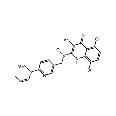 C/C=C\N(NC)c1ccc(C[S+]([O-])c2[nH]c3c(Br)ccc(Cl)c3c(=O)c2C(C)=O)cn1